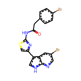 O=C(Cc1ccc(Br)cc1)Nc1nc(-c2c[nH]c3ncc(Br)cc23)cs1